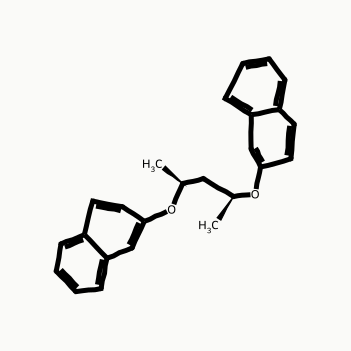 C[C@@H](C[C@H](C)Oc1ccc2ccccc2c1)Oc1ccc2ccccc2c1